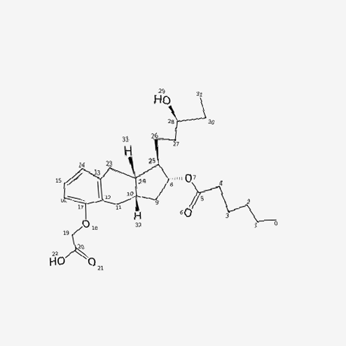 CCCCCC(=O)O[C@@H]1C[C@@H]2Cc3c(cccc3OCC(=O)O)C[C@@H]2[C@H]1CC[C@@H](O)CC